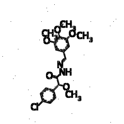 COc1cc(/C=N/NC(=O)C(OC)c2ccc(Cl)cc2)cc(OC)c1OC